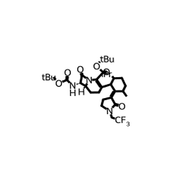 CC1CCC(C(C)C)C(C2=C(C(=O)OC(C)(C)C)N3C(=O)[C@@H](NC(=O)OC(C)(C)C)[C@H]3CC2)/C1=C1\CCN(CC(F)(F)F)C1=O